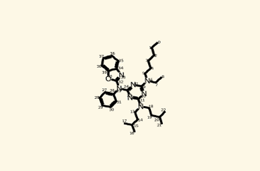 CCCCCCN(CC)c1nc(N(CCC(C)C)CCC(C)C)nc(N(c2ccccc2)c2nc3ccccc3o2)n1